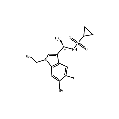 CC(C)c1cc2c(cc1F)c([C@H](NS(=O)(=O)C1CC1)C(F)(F)F)cn2CC(C)(C)C